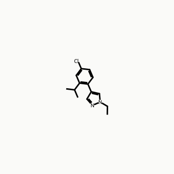 CCn1cc(-c2ccc(Cl)cc2C(C)C)cn1